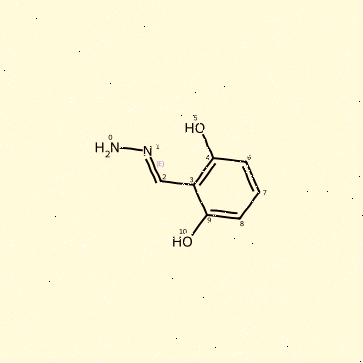 N/N=C/c1c(O)cccc1O